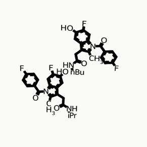 CCCCNC(=O)Cc1c(C)n(C(=O)c2ccc(F)cc2)c2cc(F)c(O)cc12.Cc1c(CC(=O)NC(C)C)c2cc(O)c(F)cc2n1C(=O)c1ccc(F)cc1